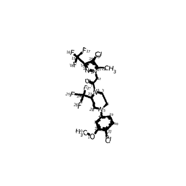 COc1cc(N2CCN(C(=O)Cn3nc(C(F)(F)F)c(Cl)c3C)C(C(F)(F)F)C2)ccc1Cl